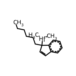 CCCCCC[C]1([Hf]([CH3])[CH3])C=Cc2ccccc21